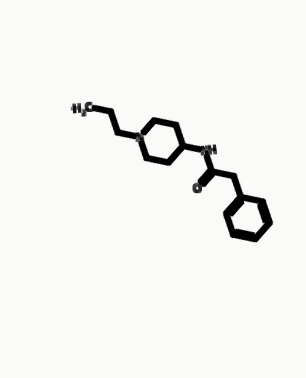 [CH2]CCN1CCC(NC(=O)Cc2ccccc2)CC1